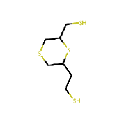 SCCC1CSCC(CS)S1